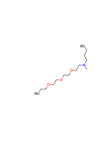 CN(CCCC(C)(C)C)CCOCCOCCOCCC(C)(C)C